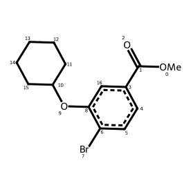 COC(=O)c1ccc(Br)c(OC2CCCCC2)c1